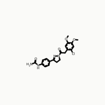 COc1cc(Cl)c(CC(=O)N2CCC(c3ccc(NC(N)=O)cc3)=N2)cc1OC